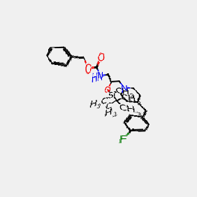 CC(C)(C)[Si](C)(C)OC(CNC(=O)OCc1ccccc1)CN1CCC(Cc2ccc(F)cc2)CC1